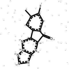 Cc1cc2c(cc1F)C(=O)c1nc3nnnn3nc1-2